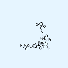 CC(C)C(NC(=O)CCCCCN1C(=O)C=CC1=O)C(=O)N[C@@H](C)C(=O)Nc1ccc(COC(N)=O)cc1